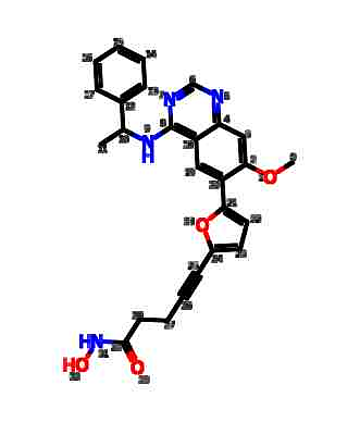 COc1cc2ncnc(NC(C)c3ccccc3)c2cc1-c1ccc(C#CCCC(=O)NO)o1